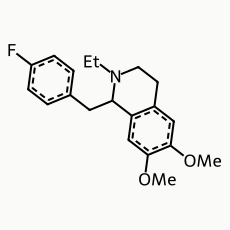 [CH2]CN1CCc2cc(OC)c(OC)cc2C1Cc1ccc(F)cc1